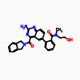 CN(CCO)C(=O)c1ccccc1-c1ccc2nc(N)nc(C(=O)N3Cc4ccccc4C3)c2c1